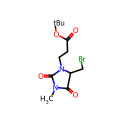 CN1C(=O)C(CBr)N(CCC(=O)OC(C)(C)C)C1=O